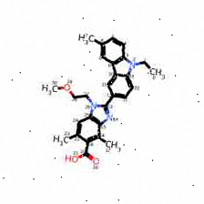 CCn1c2ccc(C)cc2c2cc(-c3nc4c(C)c(C(=O)O)c(C)cc4n3CCOC)ccc21